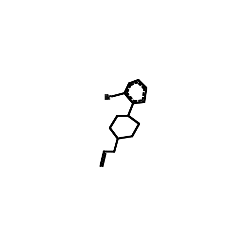 C=CCC1CCC(c2ccccc2Br)CC1